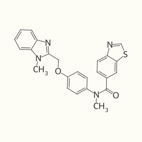 CN(C(=O)c1ccc2ncsc2c1)c1ccc(OCc2nc3ccccc3n2C)cc1